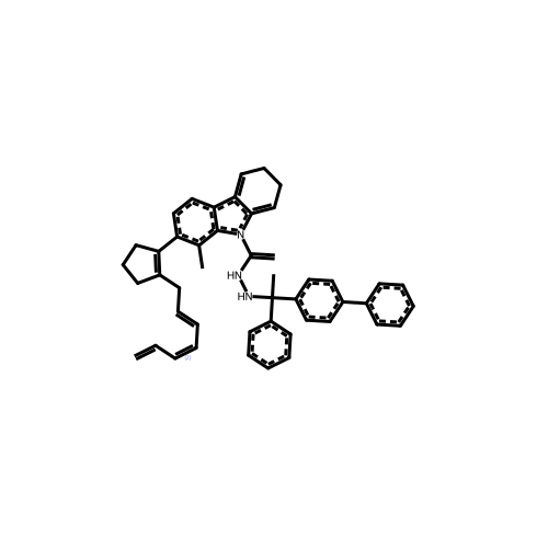 C=C/C=C\C=CCC1=C(c2ccc3c4c(n(C(=C)NNC(C)(c5ccccc5)c5ccc(-c6ccccc6)cc5)c3c2C)=CCCC=4)CCC1